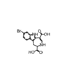 O=C(O)C1=CNC(C(=O)O)Cc2c1[nH]c1cc(Br)ccc21